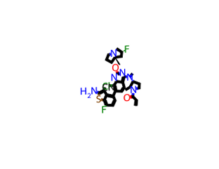 C=CC(=O)N1CCC(N(C)c2nc(OC[C@@]34CCCN3C[C@H](F)C4)nc3c(Cl)c(-c4ccc(F)c5sc(N)c(C#N)c45)ccc23)C1C